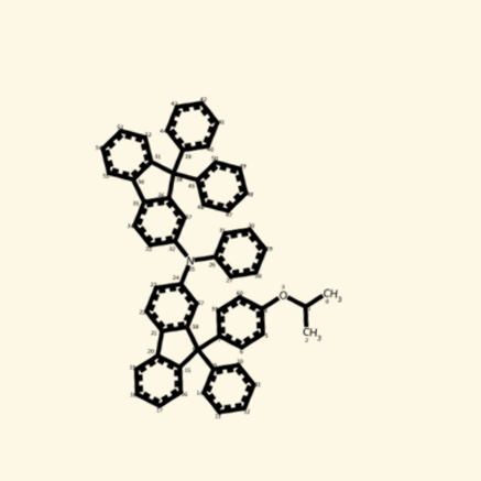 CC(C)Oc1ccc(C2(c3ccccc3)c3ccccc3-c3ccc(N(c4ccccc4)c4ccc5c(c4)C(c4ccccc4)(c4ccccc4)c4ccccc4-5)cc32)cc1